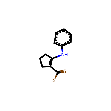 S=C(S)C1=C(Nc2ccccc2)CCC1